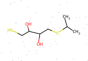 CC(C)SCC(O)C(O)CS